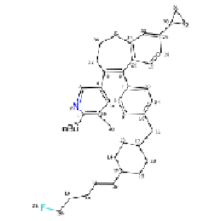 CCCCc1ncc(C2=C(c3ccc(CC4CCC(CCCCCF)CC4)cc3)c3ccc(C4CC4)cc3CCC2)cc1C